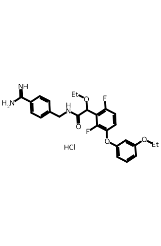 CCOc1cccc(Oc2ccc(F)c(C(OCC)C(=O)NCc3ccc(C(=N)N)cc3)c2F)c1.Cl